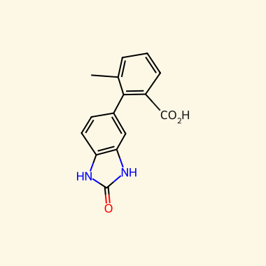 Cc1cccc(C(=O)O)c1-c1ccc2[nH]c(=O)[nH]c2c1